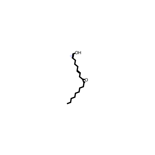 CCCCCCCCC1OC1CC=CCCC/C=C\O